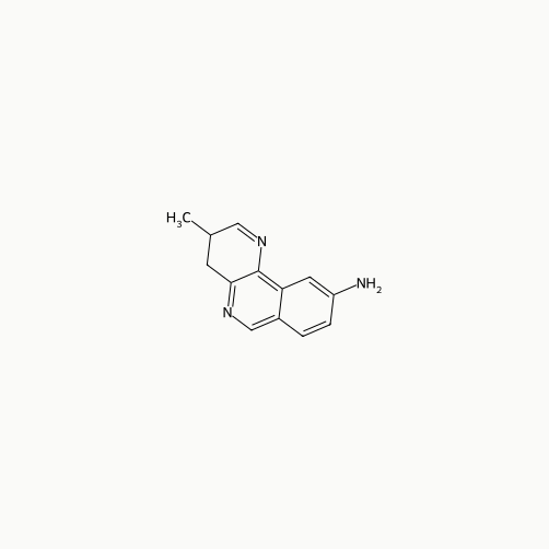 CC1C=Nc2c(ncc3ccc(N)cc23)C1